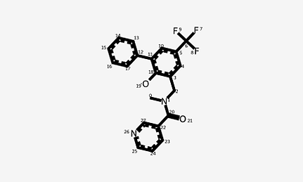 CN(Cc1cc(C(F)(F)F)cc(-c2ccccc2)c1[O])C(=O)c1cccnc1